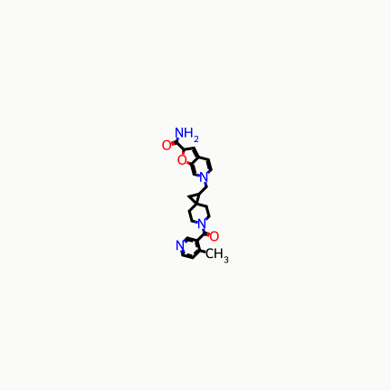 Cc1ccncc1C(=O)N1CCC2(CC1)CC2CN1C=CC2=CC(C(N)=O)OC2=C1